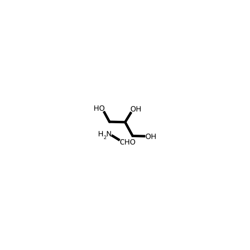 NC=O.OCC(O)CO